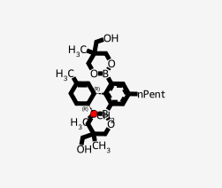 C=C(C)[C@@H]1CCC(C)=C[C@@H]1c1c(B2OCC(C)(CO)CO2)cc(CCCCC)cc1B1OCC(C)(CO)CO1